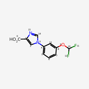 O=C(O)c1cn(-c2cccc(OC(F)F)c2)cn1